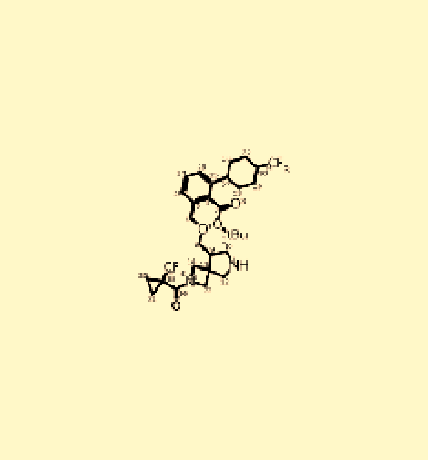 CC(C)(C)OC(=O)c1c(COCC2CNCC23CN(C(=O)C2(C(F)(F)F)CC2)C3)cccc1C1CCC(C(F)(F)F)CC1